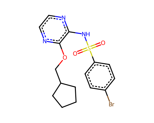 O=S(=O)(Nc1nccnc1OCC1CCCC1)c1ccc(Br)cc1